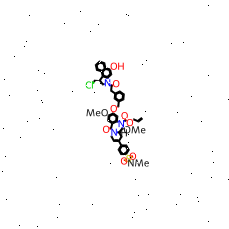 C=CCOC(=O)N1c2cc(OCc3cccc(CC(=O)N4C[C@@H](CCl)c5c4cc(O)c4ccccc54)c3)c(OC)cc2C(=O)N2CC=C(c3ccc(S(=O)(=O)NC)cc3)C[C@H]2C1OC